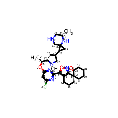 C[C@H](Oc1cc(Cl)nc(-c2onc3c2CCC[C@@]32CCCCC2=O)n1)[C@@H]1CC(C2CC23CNC[C@H](C)N3)CN1C